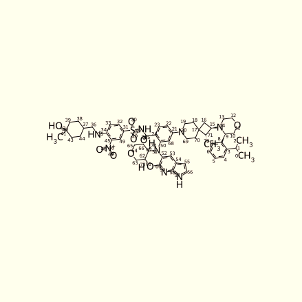 CC(C)c1ccccc1[C@@H]1COCCN1[C@@H]1CC2(CCN(c3ccc(C(=O)NS(=O)(=O)c4ccc(NCC5CCC(C)(O)CC5)c([N+](=O)[O-])c4)c(N4c5cc6cc[nH]c6nc5O[C@H]5COCC[C@@H]54)c3)CC2)[C@H]1C